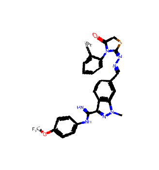 CC(C)c1ccccc1N1C(=O)CS/C1=N/N=C/c1ccc2c(C(=N)Nc3ccc(OC(F)(F)F)cc3)nn(C)c2c1